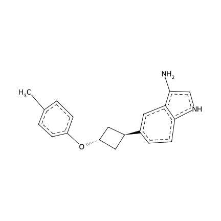 Cc1ccc(O[C@H]2C[C@H](c3ccc4[nH]cc(N)c4c3)C2)cc1